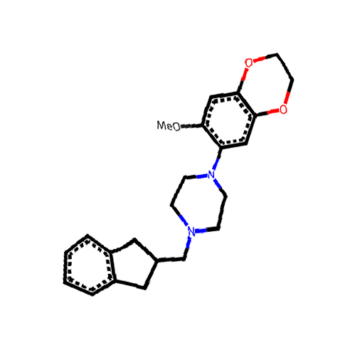 COc1cc2c(cc1N1CCN(CC3Cc4ccccc4C3)CC1)OCCO2